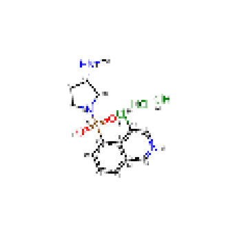 CN[C@H]1CCN(S(=O)(=O)c2cccc3cncc(Cl)c23)C1.Cl.Cl